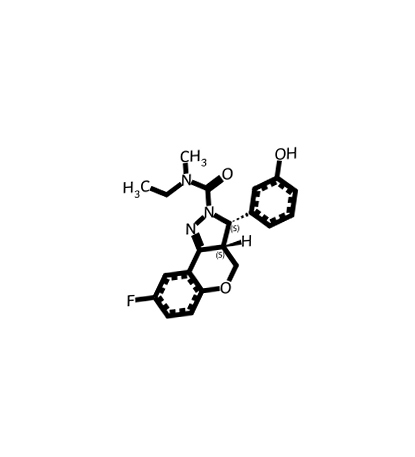 CCN(C)C(=O)N1N=C2c3cc(F)ccc3OC[C@H]2[C@H]1c1cccc(O)c1